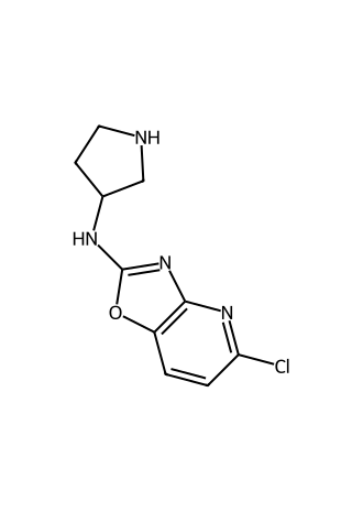 Clc1ccc2oc(NC3CCNC3)nc2n1